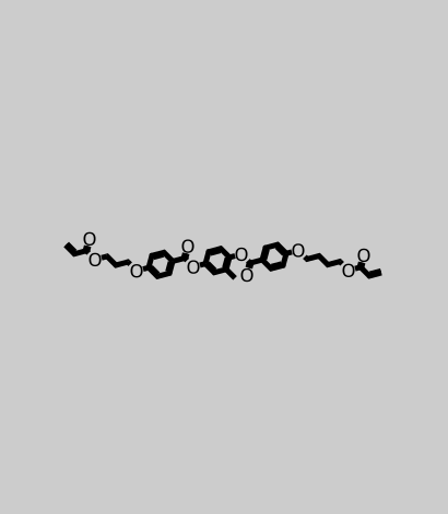 C=CC(=O)OCCCCOc1ccc(C(=O)Oc2ccc(OC(=O)c3ccc(OCCCOC(=O)C=C)cc3)cc2C)cc1